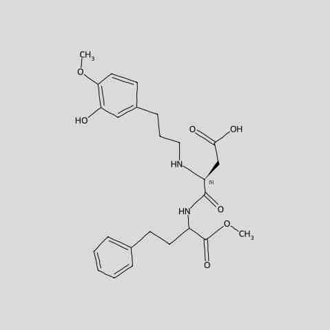 COC(=O)C(CCc1ccccc1)NC(=O)[C@H](CC(=O)O)NCCCc1ccc(OC)c(O)c1